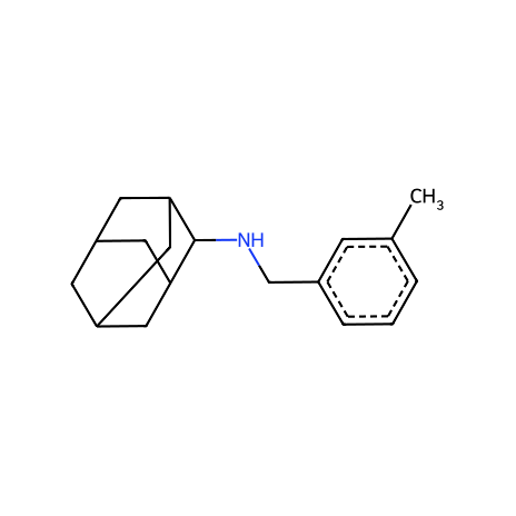 Cc1cccc(CNC2C3CC4CC(C3)CC2C4)c1